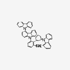 N#Cc1cccc(-n2c3ccccc3c3c(-n4c5ccccc5c5ccccc54)cccc32)c1-c1cccc(-n2c3ccccc3c3cccc(C#N)c32)c1